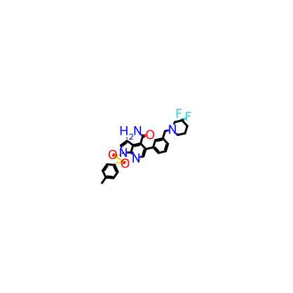 Cc1ccc(S(=O)(=O)n2c[c]c3c(C(N)=O)c(-c4cccc(CN5CCCC(F)(F)C5)c4)cnc32)cc1